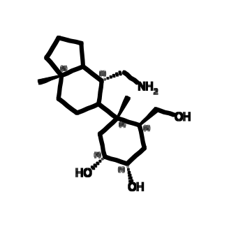 C[C@@]12CCCC1[C@H](CN)C([C@@]1(C)C[C@@H](O)[C@@H](O)C[C@@H]1CO)CC2